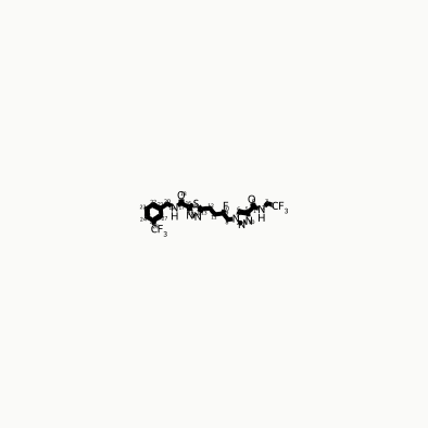 O=C(NCC(F)(F)F)c1cn(CC(F)CCc2nnc(C(=O)NCc3cccc(C(F)(F)F)c3)s2)nn1